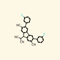 N#Cc1cc2c(cc1-c1cccc(F)c1)-c1cc(-c3cccc(F)c3)c(C#N)cc1C2C(C#N)C#N